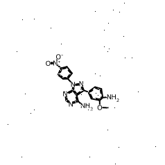 COc1cc(-c2nn(-c3ccc([N+](=O)[O-])cc3)c3ncnc(N)c23)ccc1N